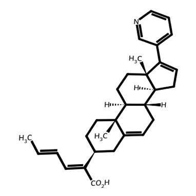 C/C=C/C=C(/C(=O)O)[C@H]1CC[C@@]2(C)C(=CC[C@@H]3[C@@H]2CC[C@]2(C)C(c4cccnc4)=CC[C@@H]32)C1